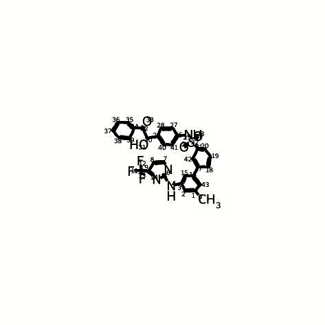 Cc1cc(Nc2nccc(C(F)(F)F)n2)cc(-c2cccc(S(=O)(=O)Nc3ccc(C(O)C(=O)c4ccccc4)cc3)c2)c1